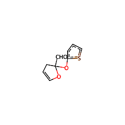 O=CC1(Oc2cccs2)CC=CO1